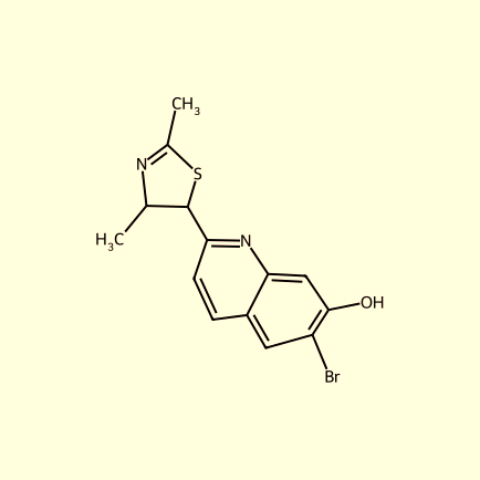 CC1=NC(C)C(c2ccc3cc(Br)c(O)cc3n2)S1